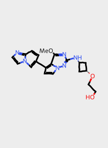 COc1nc(N[C@H]2C[C@@H](OCCO)C2)nn2ccc(-c3ccc4nccn4c3)c12